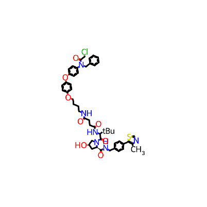 Cc1ncsc1-c1ccc(CNC(=O)[C@H]2C[C@@H](O)CN2C(=O)C(NC(=O)CCC(=O)NCCCCOc2ccc(Oc3ccc(N(Cc4ccccc4)C(=O)CCl)cc3)cc2)C(C)(C)C)cc1